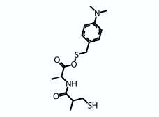 CC(CS)C(=O)N[C@@H](C)C(=O)OSCc1ccc(N(C)C)cc1